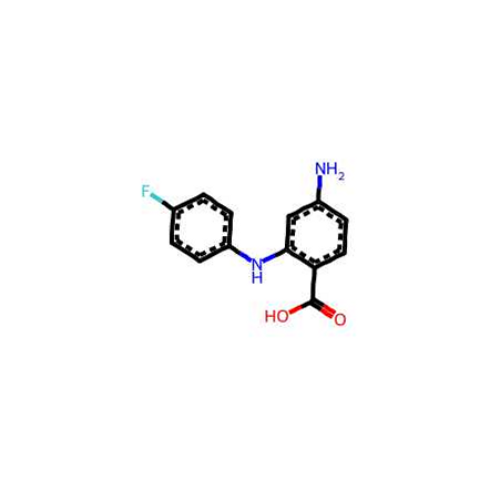 Nc1ccc(C(=O)O)c(Nc2ccc(F)cc2)c1